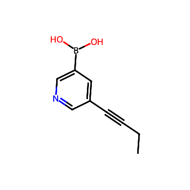 CCC#Cc1cncc(B(O)O)c1